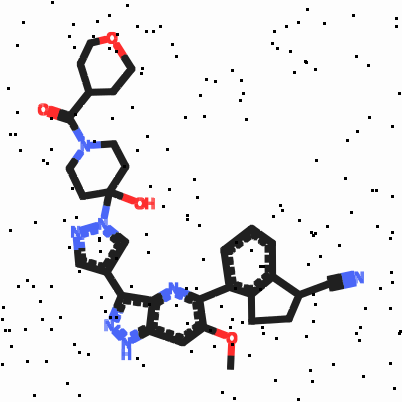 COc1cc2[nH]nc(-c3cnn(C4(O)CCN(C(=O)C5CCOCC5)CC4)c3)c2nc1-c1cccc2c1CCC2C#N